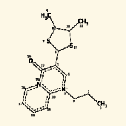 CCC[n+]1cc(C2SC(C)C(C)S2)c(=O)n2ccccc21